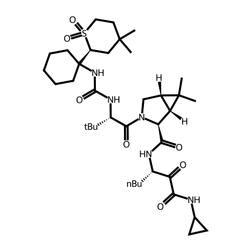 CCCC[C@H](NC(=O)[C@@H]1[C@@H]2[C@H](CN1C(=O)[C@@H](NC(=O)NC1([C@@H]3CC(C)(C)CCS3(=O)=O)CCCCC1)C(C)(C)C)C2(C)C)C(=O)C(=O)NC1CC1